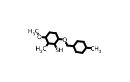 COC1CCC(OCC2CCC(C)CC2)C(S)C1C